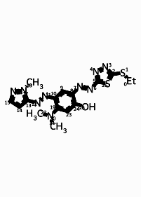 CCSc1nnc(/N=N/c2cc(/N=N/c3ccnn3C)c(N(C)C)cc2O)s1